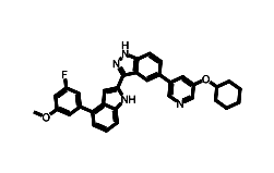 COc1cc(F)cc(-c2cccc3[nH]c(-c4n[nH]c5ccc(-c6cncc(OC7CCCCC7)c6)cc45)cc23)c1